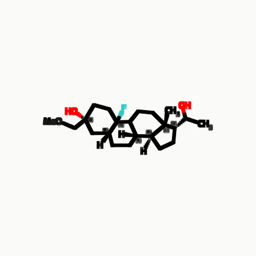 COC[C@@]1(O)CC[C@]2(F)C3CC[C@]4(C)[C@H](C(C)O)CC[C@H]4[C@@H]3CC[C@@H]2C1